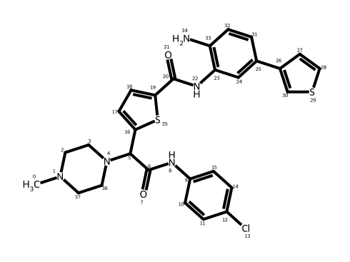 CN1CCN(C(C(=O)Nc2ccc(Cl)cc2)c2ccc(C(=O)Nc3cc(-c4ccsc4)ccc3N)s2)CC1